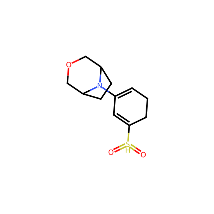 O=[SH](=O)C1=CC(N2C3CCC2COC3)=CCC1